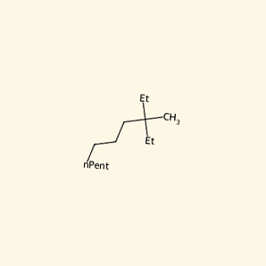 CCCCCCCCC(C)(CC)CC